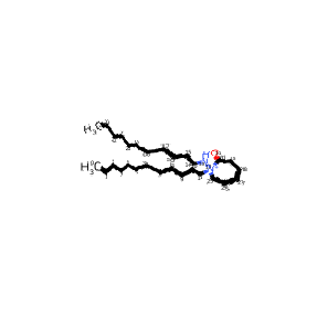 CCCCCCCCCCCC[N+]1(NCCCCCCCCCCC)CCCCCC1=O